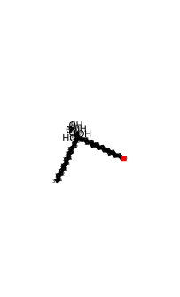 CCCCCCCCCCCCCCCCC(O)C(O)(CCCCCCCCCCCCCCCC)COP(=O)(O)O